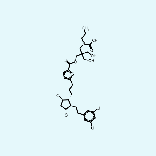 CCCN(CC(CO)(CO)COC(=O)c1ccc(CCC[C@@H]2[C@@H](CCc3cc(Cl)cc(Cl)c3)[C@H](O)C[C@H]2Cl)s1)C(C)=O